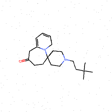 CC(C)(C)CCN1CCC2(CCC(=O)CC3=CC=CCN32)CC1